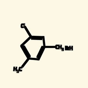 Br.Cc1cc(C)cc(Cl)c1